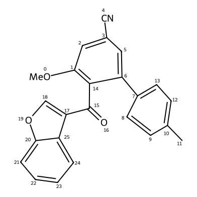 COc1cc(C#N)cc(-c2ccc(C)cc2)c1C(=O)c1coc2ccccc12